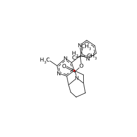 Cc1nc(-c2ncccn2)c2c(n1)C1CCCC(C2)N1C(=O)OC(C)(C)C